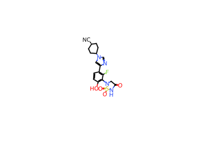 N#C[C@H]1CC[C@@H](n2cnc(-c3ccc(O)c(N4CC(=O)NS4(=O)=O)c3F)c2)CC1